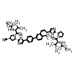 CCc1ccc(-c2ccc(-c3cnc([C@@H]4C[C@@H](C#N)CN4C(=O)[C@@H](NC(=O)OC)C(C)C)[nH]3)cc2)cc1/C=C\Cc1cnc([C@@H]2CCCN2C(=O)[C@@H](NC(=O)OC)C(C)C)[nH]1